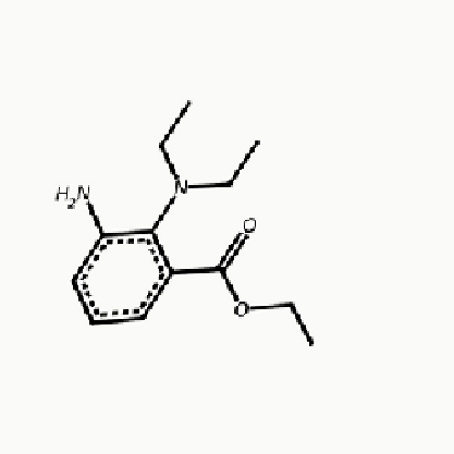 CCOC(=O)c1cccc(N)c1N(CC)CC